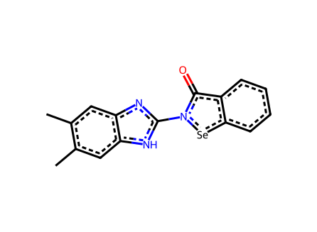 Cc1cc2nc(-n3[se]c4ccccc4c3=O)[nH]c2cc1C